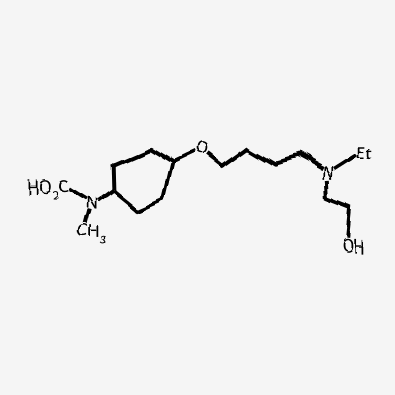 CCN(CCO)CCCCOC1CCC(N(C)C(=O)O)CC1